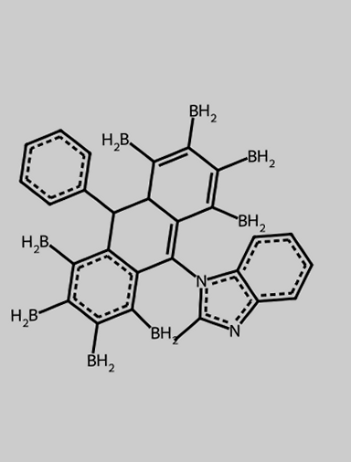 BC1=C(B)C2=C(n3c(C)nc4ccccc43)c3c(B)c(B)c(B)c(B)c3C(c3ccccc3)C2C(B)=C1B